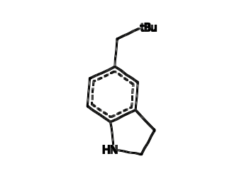 CC(C)(C)Cc1ccc2c(c1)CCN2